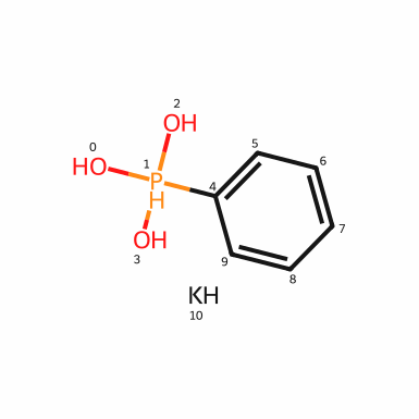 O[PH](O)(O)c1ccccc1.[KH]